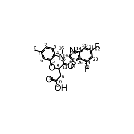 Cc1ccc2c(c1)OC(CC(=O)O)C(=O)[N+]2(C)c1nc2cc(F)cc(F)c2s1